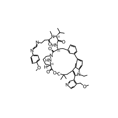 CCn1c(-c2cnccc2COC)c2c3cc(ccc31)-c1cccc(c1)C[C@H](NC(=O)[C@H](C(C)C)N(C)C(=O)CCN=C=Nc1ccc(OC)cc1)C(=O)N1CCC[C@H](N1)C(=O)OCC(C)(C)C2